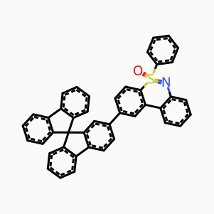 O=S1(c2ccccc2)=Nc2ccccc2-c2cc(-c3ccc4c(c3)C3(c5ccccc5-c5ccccc53)c3ccccc3-4)ccc21